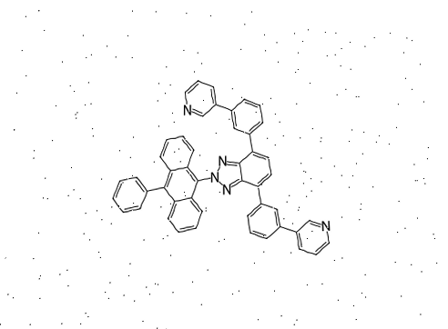 c1ccc(-c2c3ccccc3c(-n3nc4c(-c5cccc(-c6cccnc6)c5)ccc(-c5cccc(-c6cccnc6)c5)c4n3)c3ccccc23)cc1